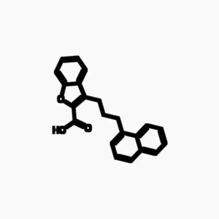 O=C(O)c1oc2ccccc2c1CCCc1cccc2ccccc12